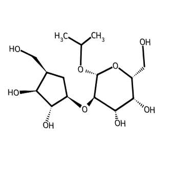 CC(C)O[C@@H]1O[C@H](CO)[C@H](O)[C@H](O)[C@H]1O[C@@H]1C[C@H](CO)[C@H](O)[C@H]1O